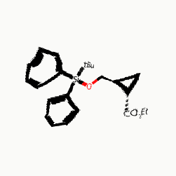 CCOC(=O)[C@H]1C[C@@H]1CO[Si](c1ccccc1)(c1ccccc1)C(C)(C)C